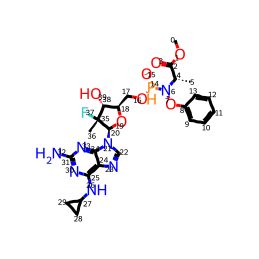 COC(=O)[C@H](C)N(Oc1ccccc1)[PH](=O)OC[C@H]1O[C@@H](n2cnc3c(NC4CC4)nc(N)nc32)[C@](C)(F)[C@@H]1O